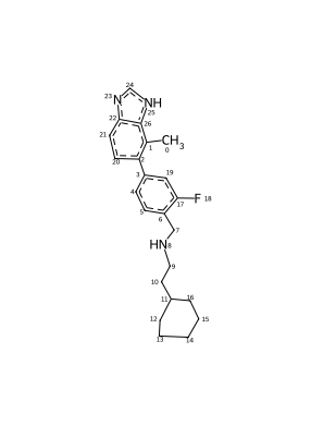 Cc1c(-c2ccc(CNCCC3CCCCC3)c(F)c2)ccc2nc[nH]c12